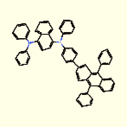 c1ccc(-c2c3ccccc3c(-c3ccccc3)c3cc(-c4ccc(N(c5ccccc5)c5ccc(N(c6ccccc6)c6ccccc6)c6ccccc56)cc4)ccc23)cc1